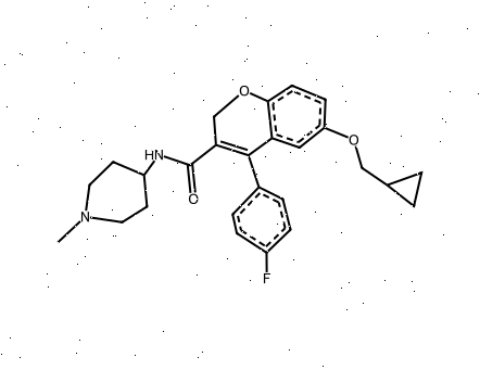 CN1CCC(NC(=O)C2=C(c3ccc(F)cc3)c3cc(OCC4CC4)ccc3OC2)CC1